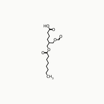 CCCCCCCC(=O)OCC(CCCC(=O)O)COC=O